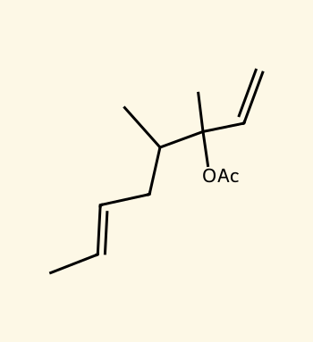 C=CC(C)(OC(C)=O)C(C)CC=CC